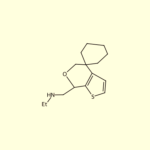 CCNCC1OCC2(CCCCC2)c2ccsc21